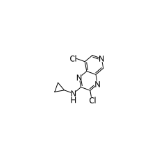 Clc1nc2cncc(Cl)c2nc1NC1CC1